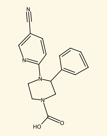 N#Cc1ccc(N2CCN(C(=O)O)CC2c2ccccc2)nc1